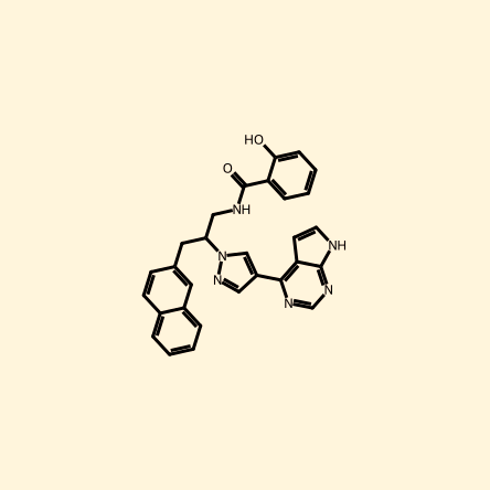 O=C(NCC(Cc1ccc2ccccc2c1)n1cc(-c2ncnc3[nH]ccc23)cn1)c1ccccc1O